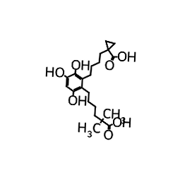 CC(C)(CCCCc1c(O)cc(O)c(O)c1CCCCC1(C(=O)O)CC1)C(=O)O